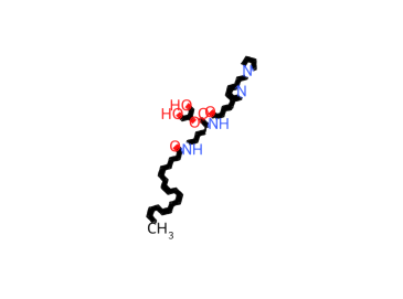 CC/C=C\C/C=C\C/C=C\C/C=C\C/C=C\CCCC(=O)NCCCC[C@H](NC(=O)C/C=C/c1ccc(CCN2CCCC2)nc1)C(=O)OC(CO)CO